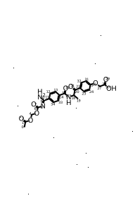 CC(=O)OCOC(=O)N=C(N)c1ccc(C(=O)NC(C)C(=O)c2ccc(OCC(=O)O)cc2)cc1